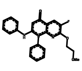 COCCOc1nc2c(cc1F)c(=O)cc(Nc1ccccc1)n2-c1ccccc1